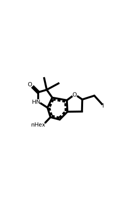 CCCCCCc1cc2c(c3c1NC(=O)C3(C)C)OC(CI)C2